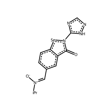 CC(C)[N+]([O-])=Cc1ccc2[se]n(-c3ncn[nH]3)c(=O)c2c1